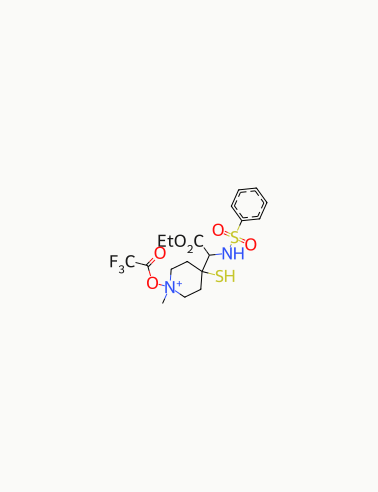 CCOC(=O)C(NS(=O)(=O)c1ccccc1)C1(S)CC[N+](C)(OC(=O)C(F)(F)F)CC1